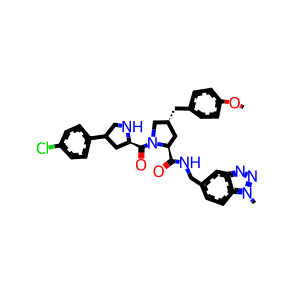 COc1ccc(C[C@@H]2C[C@@H](C(=O)NCc3ccc4c(c3)nnn4C)N(C(=O)[C@H]3CC(c4ccc(Cl)cc4)CN3)C2)cc1